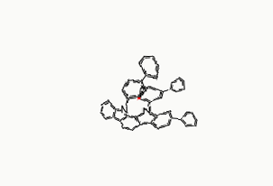 c1ccc(-c2ccc(-n3c4ccccc4c4ccc5c6ccc(-c7ccccc7)cc6n(-c6cccc(-c7ccccc7)c6)c5c43)cc2)cc1